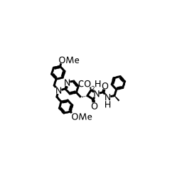 COc1ccc(CN(Cc2ccc(OC)cc2)c2cc(C[C@H]3C(=O)N(C(=O)N[C@H](C)c4ccccc4)[C@@H]3C(=O)O)ccn2)cc1